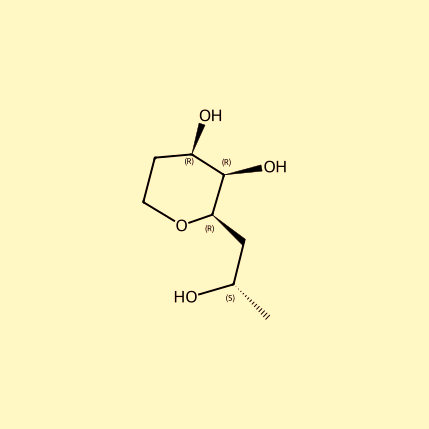 C[C@H](O)C[C@H]1OCC[C@@H](O)[C@H]1O